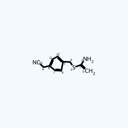 C=C(N)SCc1ccc(CC#N)cc1